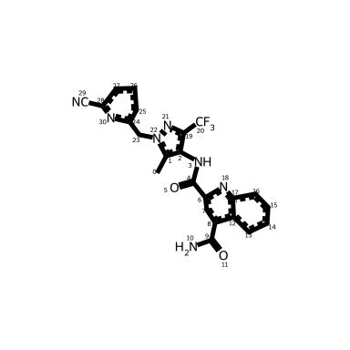 Cc1c(NC(=O)c2cc(C(N)=O)c3ccccc3n2)c(C(F)(F)F)nn1Cc1cccc(C#N)n1